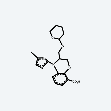 Cc1cnc(N2c3cccc(C(=O)O)c3OCC2COC2CCCCO2)s1